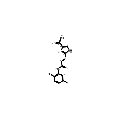 Cc1ccc(F)c(NC(=O)CSc2nc(C(=O)O)c[nH]2)c1